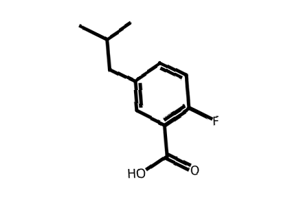 CC(C)Cc1ccc(F)c(C(=O)O)c1